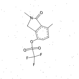 Cc1ccc(OS(=O)(=O)C(F)(F)F)c2c1C(=O)N(C)C2